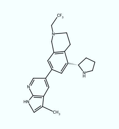 Cc1c[nH]c2ncc(-c3cc4c(c([C@@H]5CCCN5)c3)CCN(CC(F)(F)F)C4)cc12